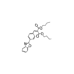 CCCCOC(=O)C(=Cc1ccc(-c2nc3ccccc3o2)cc1)C(=O)OCCCC